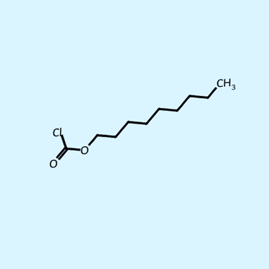 CCCCCCCCCOC(=O)Cl